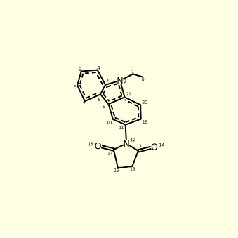 CCn1c2ccccc2c2cc(N3C(=O)CCC3=O)ccc21